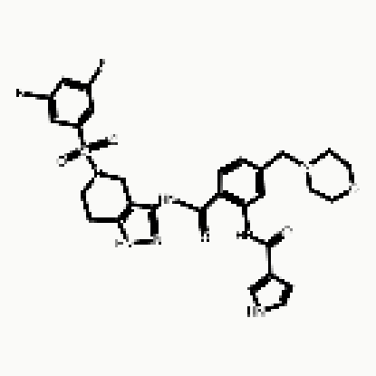 O=C(Nc1cc(CN2CCOCC2)ccc1C(=O)Nc1n[nH]c2c1CN(S(=O)(=O)c1cc(F)cc(F)c1)CC2)c1cc[nH]c1